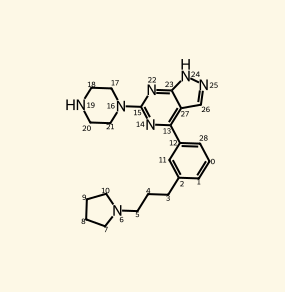 c1cc(CCCN2CCCC2)cc(-c2nc(N3CCNCC3)nc3[nH]ncc23)c1